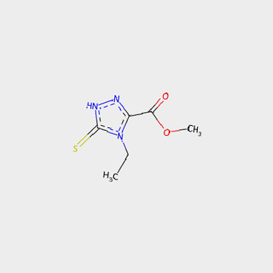 CCn1c(C(=O)OC)n[nH]c1=S